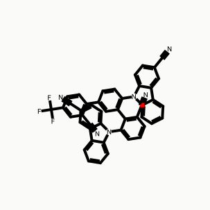 N#Cc1ccc2c(c1)c1ccccc1n2-c1ccc(-c2ccc(C(F)(F)F)cc2C#N)cc1-c1c(C#N)cccc1-n1c2ccccc2c2cc(C#N)ccc21